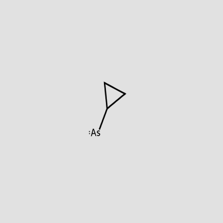 [As]C1CC1